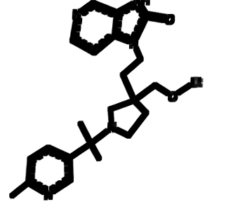 CCOCC1(CCn2c(=O)[nH]c3cnccc32)CCN(C(C)(C)c2ccc(C)nc2)C1